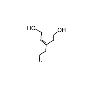 [CH2]CCC(=CCO)CCO